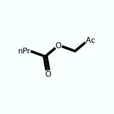 CCCC(=O)OCC(C)=O